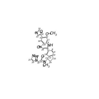 COc1cc2[nH]c(-c3ccc4c(c3)C(N(C)C(=O)Cn3ccnn3)CC4)cc(=O)c2cc1-c1cnco1